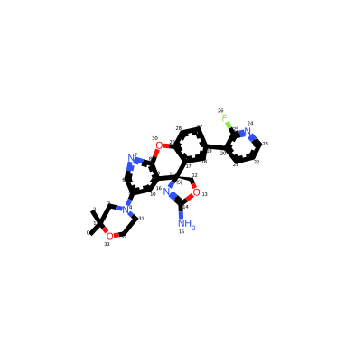 CC1(C)CN(c2cnc3c(c2)[C@]2(COC(N)=N2)c2cc(-c4cccnc4F)ccc2O3)CCO1